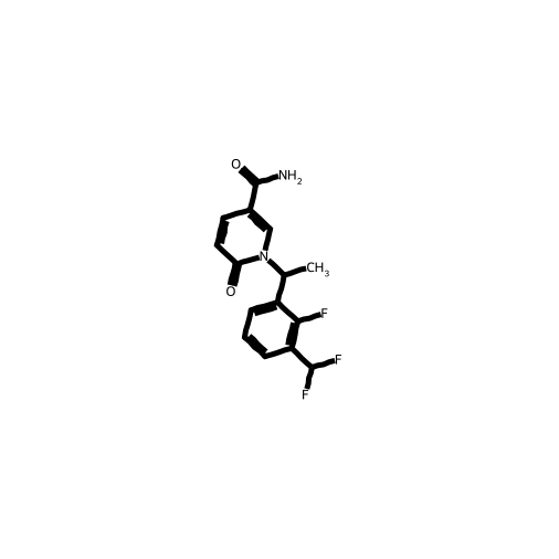 CC(c1cccc(C(F)F)c1F)n1cc(C(N)=O)ccc1=O